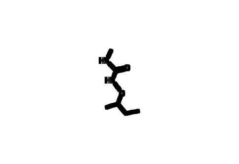 CCC(C)ONC(=O)NC